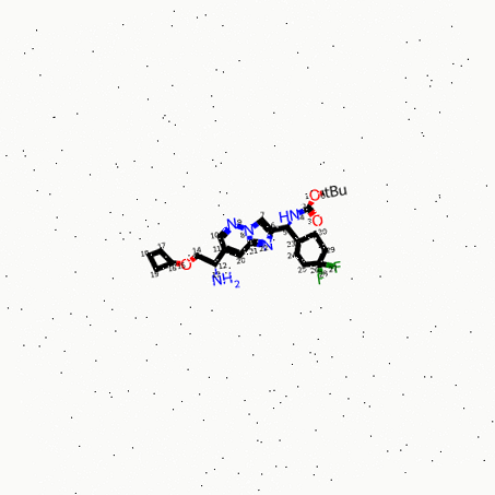 CC(C)(C)OC(=O)N[C@H](c1cn2ncc([C@H](N)COC3CCC3)cc2n1)C1CCC(F)(F)CC1